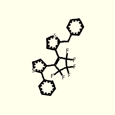 FC1(F)C(c2ccsc2Cc2ccccc2)=C(c2ccsc2-c2ccccc2)C(F)(F)C1(F)F